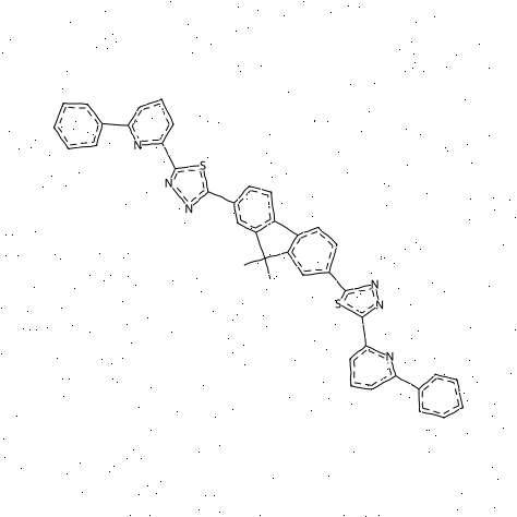 CC1(C)c2cc(-c3nnc(-c4cccc(-c5ccccc5)n4)s3)ccc2-c2ccc(-c3nnc(-c4cccc(-c5ccccc5)n4)s3)cc21